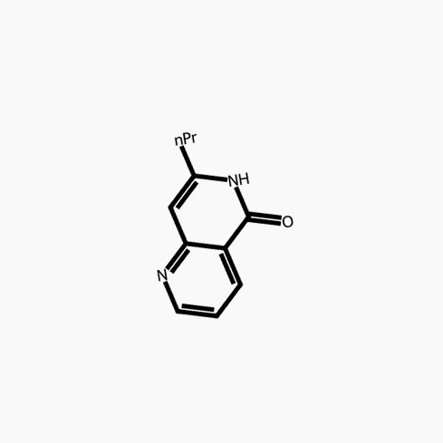 [CH2]CCc1cc2ncccc2c(=O)[nH]1